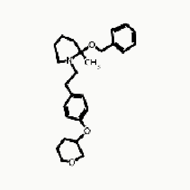 CC1(OCc2ccccc2)CCCCN1CCc1ccc(OC2CCCOC2)cc1